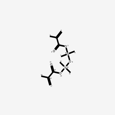 C=C(C)C(=O)O[Si](C)(C)O[Si](C)(C)OC(=O)C(=C)C